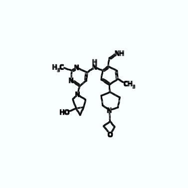 Cc1nc(Nc2cc(C3CCN(C4COC4)CC3)c(C)cc2C=N)cc(N2CC3CC3(O)C2)n1